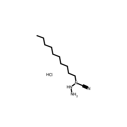 CCCCCCCCCCN(C#N)NN.Cl